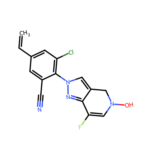 C=Cc1cc(Cl)c(-n2cc3c(n2)C(F)=CN(O)C3)c(C#N)c1